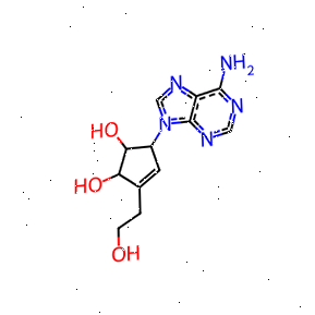 Nc1ncnc2c1ncn2C1C=C(CCO)C(O)C1O